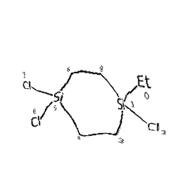 CC[Si]1(Cl)CC[Si](Cl)(Cl)CC1